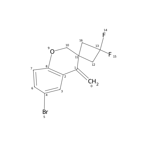 C=C1c2cc(Br)ccc2OCC12CC(F)(F)C2